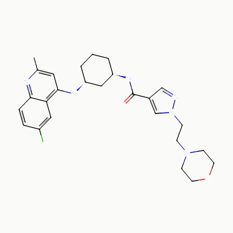 O=C(N[C@@H]1CCC[C@H](Nc2cc(C(F)(F)F)nc3ccc(Cl)cc23)C1)c1cnn(CCN2CCOCC2)c1